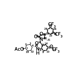 CC(=O)O[C@H]1CC[C@H](C(=O)Nc2ccc(OC(F)(F)F)cc2CN2C(=O)O[C@H](c3cc(C(F)(F)F)cc(C(F)(F)F)c3)[C@@H]2C)CC1